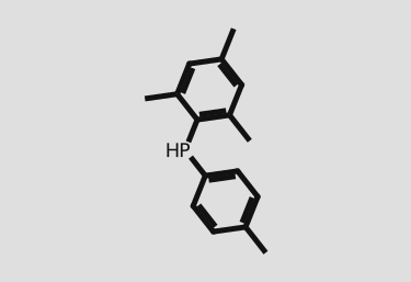 Cc1ccc(Pc2c(C)cc(C)cc2C)cc1